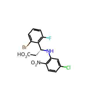 O=C(O)C[C@@H](Nc1cc(Cl)ccc1[N+](=O)[O-])c1c(F)cccc1Br